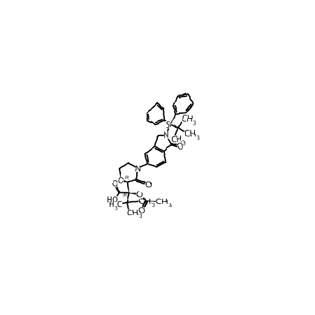 CC(=O)O[C@@](C(=O)O)([C@H]1OCCN(c2ccc3c(c2)CN([Si](c2ccccc2)(c2ccccc2)C(C)(C)C)C3=O)C1=O)C(C)(C)C